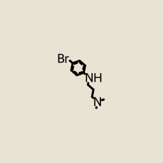 CN(C)CCCNc1ccc(Br)cc1